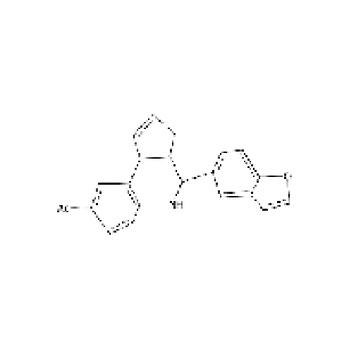 CC(=O)c1ccc2c(c1)C1C=CCC1C(c1ccc3occc3c1)N2